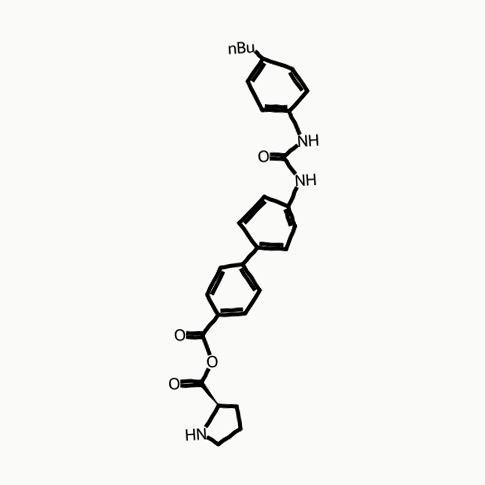 CCCCc1ccc(NC(=O)Nc2ccc(-c3ccc(C(=O)OC(=O)[C@H]4CCCN4)cc3)cc2)cc1